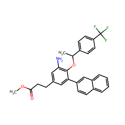 COC(=O)CCc1cc(N)c(OC(C)c2ccc(C(F)(F)F)cc2)c(-c2ccc3ccccc3c2)c1